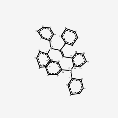 C(=C(c1ccccc1)N(c1ccccc1)c1ccccc1)c1ccccc1N(c1ccccc1)c1ccccc1